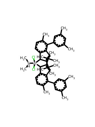 Cc1cc(C)cc(-c2c(C)ccc3c2C=C(C(C)(C)C)[CH]3[Zr]([Cl])([Cl])([CH]2C(C(C)(C)C)=Cc3c2ccc(C)c3-c2cc(C)cc(C)c2)[SiH](C)C)c1